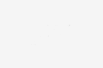 COC(C)Oc1ccc(C(CC(C)(C)C)C(C)(C)C)cc1